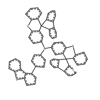 c1ccc2c(c1)Sc1ccc(N(c3ccc(-c4cccc5sc6ccccc6c45)cc3)c3ccc4c(c3)C3(c5ccccc5S4)c4ccccc4-c4ccccc43)cc1C21c2ccccc2-c2ccccc21